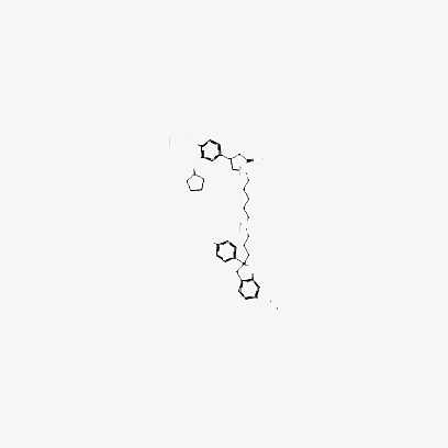 Cc1ccc(C2CC(=O)N(CCCCCNCCCC3(c4ccc(F)cc4)Cc4ccc(C#N)cc4O3)C2)cc1OC1CCCC1